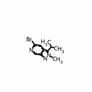 CC(C)c1c2cc(Br)ncc2nn1C